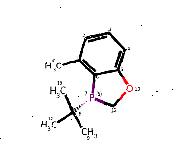 Cc1cccc2c1[P@@](C(C)(C)C)CO2